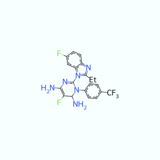 CCc1nc2ccc(F)cc2n1C1=NC(N)=C(F)C(N)N1c1ccc(C(F)(F)F)cc1